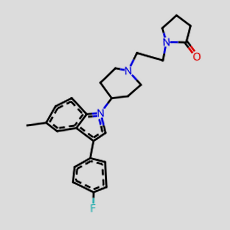 Cc1ccc2c(c1)c(-c1ccc(F)cc1)cn2C1CCN(CCN2CCCC2=O)CC1